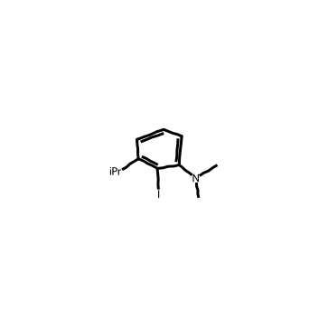 CC(C)c1cccc(N(C)C)c1I